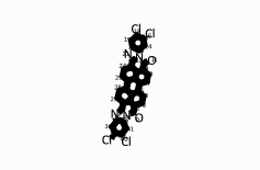 O=c1c2ccc3c4ccc5c(=O)n6c7cc(Cl)c(Cl)cc7nc6c6ccc(c7ccc(c2c37)c2nc3cc(Cl)c(Cl)cc3n12)c4c56